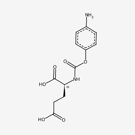 Nc1ccc(OC(=O)N[C@@H](CCC(=O)O)C(=O)O)cc1